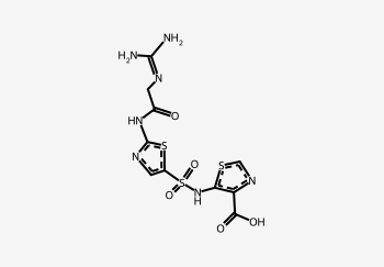 NC(N)=NCC(=O)Nc1ncc(S(=O)(=O)Nc2scnc2C(=O)O)s1